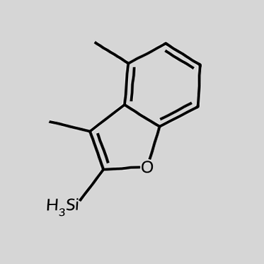 Cc1cccc2oc([SiH3])c(C)c12